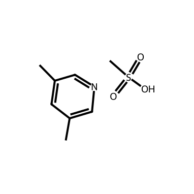 CS(=O)(=O)O.Cc1cncc(C)c1